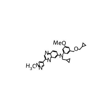 COc1cc(COCC2CC2)cc(N(CC2CC2)c2ccc3ncc(-c4cnn(C)c4)nc3c2)c1